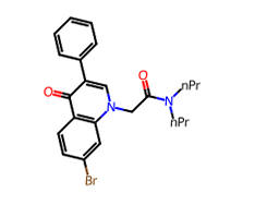 CCCN(CCC)C(=O)Cn1cc(-c2ccccc2)c(=O)c2ccc(Br)cc21